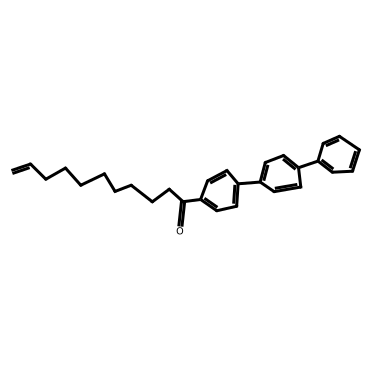 C=CCCCCCCCCC(=O)c1ccc(-c2ccc(-c3ccccc3)cc2)cc1